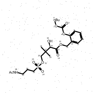 CCCCOC(=O)Oc1ccccc1COC(=O)[C@H](O)C(C)(C)COS(=O)(=O)CCCNC(C)=O